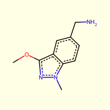 COc1nn(C)c2ccc(CN)cc12